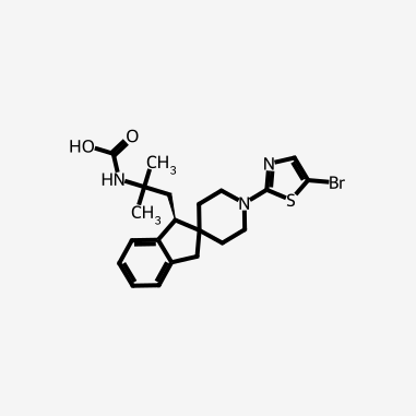 CC(C)(C[C@@H]1c2ccccc2CC12CCN(c1ncc(Br)s1)CC2)NC(=O)O